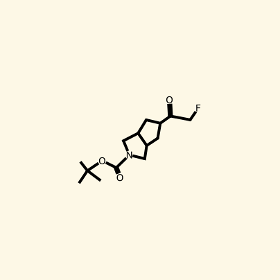 CC(C)(C)OC(=O)N1CC2CC(C(=O)CF)CC2C1